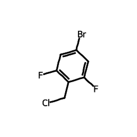 Fc1cc(Br)cc(F)c1CCl